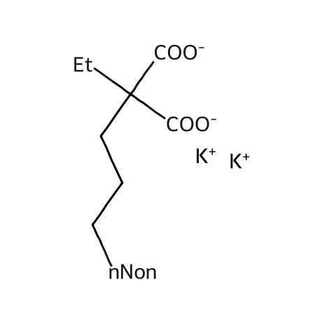 CCCCCCCCCCCCC(CC)(C(=O)[O-])C(=O)[O-].[K+].[K+]